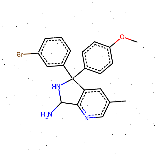 COc1ccc(C2(c3cccc(Br)c3)NC(N)c3ncc(C)cc32)cc1